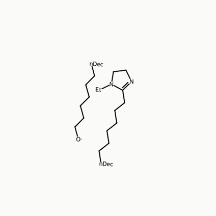 CCCCCCCCCCCCCCCCC1=NCCN1CC.CCCCCCCCCCCCCCCC[O]